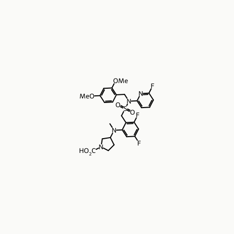 COc1ccc(CN(c2cccc(F)n2)S(=O)(=O)Cc2c(F)cc(F)cc2N(C)C2CCN(C(=O)O)C2)c(OC)c1